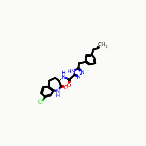 C=CCc1cccc(Cc2nnc(C(=O)N[C@H]3CCc4ccc(Cl)cc4NC3=O)[nH]2)c1